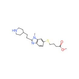 COC(=O)CCCSc1ccc2nc(CCC3CCNCC3)n(C)c2c1